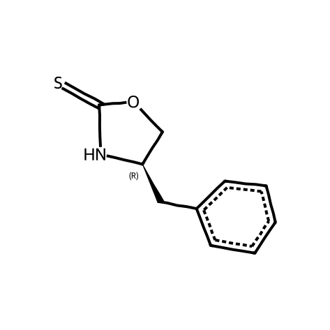 S=C1N[C@H](Cc2ccccc2)CO1